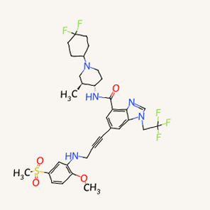 COc1ccc(S(C)(=O)=O)cc1NCC#Cc1cc(C(=O)N[C@H]2CCN(C3CCC(F)(F)CC3)C[C@@H]2C)c2ncn(CC(F)(F)F)c2c1